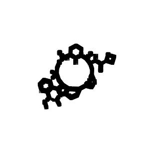 CCn1c(-c2cccnc2[C@H](C)OC)c2c3cc(ccc31)-c1csc(n1)C[C@H](NC(=O)[C@@H]1CCO1)C(=O)N1CCC[C@H](N1)C(=O)OCC(C)(C)C2